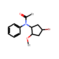 CCOC1CC(Br)CC1N(C(=O)CC)c1ccccc1